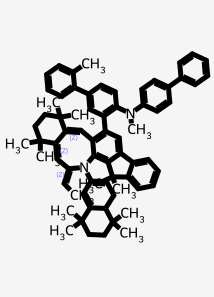 C/C=C1/C=C2\C(=C/c3c(-c4cc(-c5ccccc5C)ccc4N(C)c4ccc(-c5ccccc5)cc4)cc4c(c3N1C1=CCC3C(=C1)C(C)(C)CCC3(C)C)C(C)(C)c1ccccc1-4)C(C)(C)CCC2(C)C